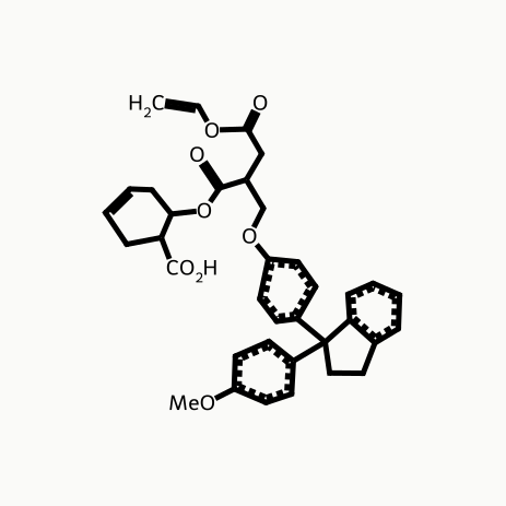 C=COC(=O)CC(COc1ccc(C2(c3ccc(OC)cc3)CCc3ccccc32)cc1)C(=O)OC1CC=CCC1C(=O)O